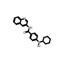 CC(=O)N(c1ccc(C(=O)Nc2cnc3ccccc3c2)cc1)C1CCCCC1